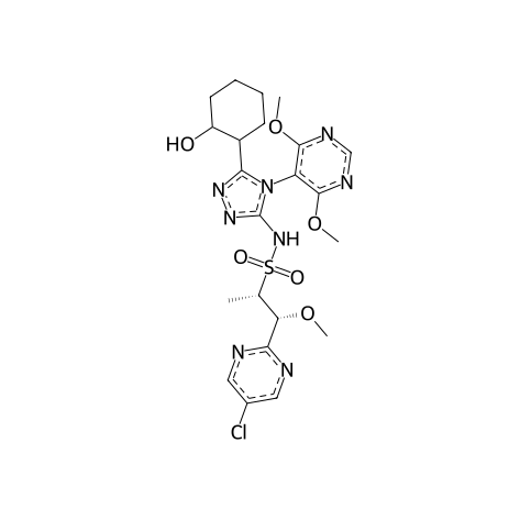 COc1ncnc(OC)c1-n1c(NS(=O)(=O)[C@@H](C)[C@H](OC)c2ncc(Cl)cn2)nnc1C1CCCCC1O